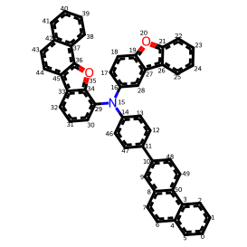 c1ccc2c(c1)ccc1cc(-c3ccc(N(c4ccc5oc6ccccc6c5c4)c4cccc5c4oc4c6ccccc6ccc54)cc3)ccc12